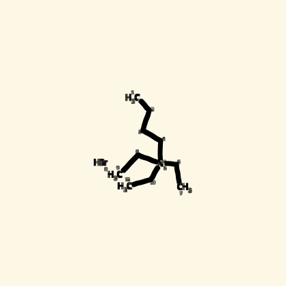 Br.CCCC[N+](CC)(CC)CC